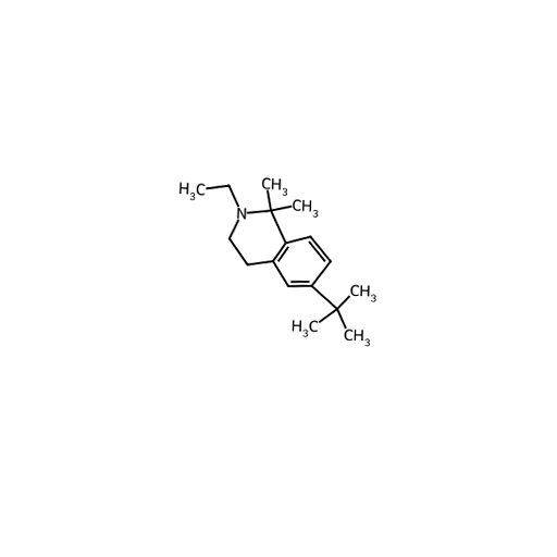 CCN1CCc2cc(C(C)(C)C)ccc2C1(C)C